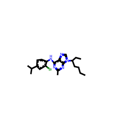 CCCCC(CC)n1cnc2c(Nc3ccc(C(C)C)cc3Br)nc(C)nc21